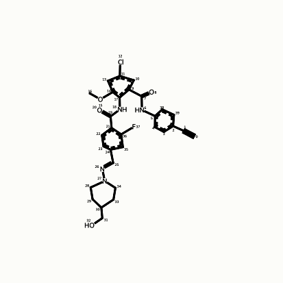 C#Cc1ccc(NC(=O)c2cc(Cl)cc(OC)c2NC(=O)c2ccc(C=NN3CCC(CO)CC3)cc2F)cc1